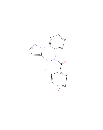 CC[C@@H]1c2cccn2-c2ccc(F)cc2N1C(=O)c1ccc(O)cc1